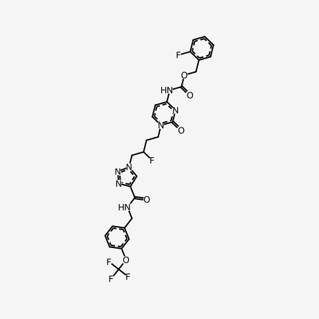 O=C(Nc1ccn(CCC(F)Cn2cc(C(=O)NCc3cccc(OC(F)(F)F)c3)nn2)c(=O)n1)OCc1ccccc1F